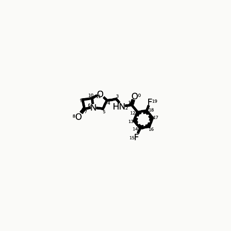 O=C(NCC1CN2C(=O)CC2O1)c1cc(F)ccc1F